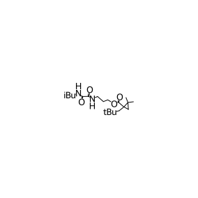 CCC(C)NC(=O)C(=O)NCCCOC(=O)C1(CC(C)(C)C)CC1(C)C